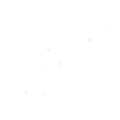 Cn1cnc(S(=O)(=O)NC(CCN2CCOCC2)N2CCOCC2)c1